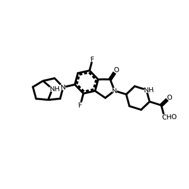 O=CC(=O)C1CCC(N2Cc3c(F)c(N4CC5CCC(C4)N5)cc(F)c3C2=O)CN1